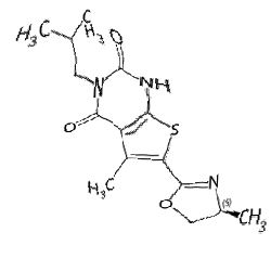 Cc1c(C2=N[C@@H](C)CO2)sc2[nH]c(=O)n(CC(C)C)c(=O)c12